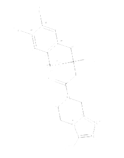 CCOC(=O)C(CC(=O)N1CCn2c(nnc2C(F)(F)F)C1)(Cc1cc(F)c(F)cc1F)C(=O)OCC